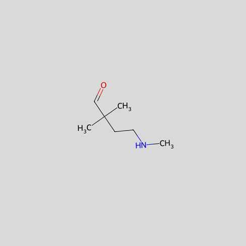 CNCCC(C)(C)C=O